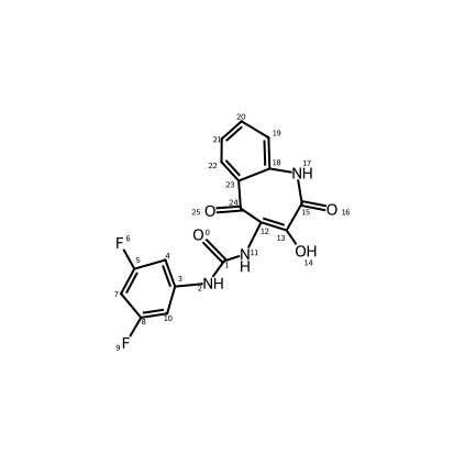 O=C(Nc1cc(F)cc(F)c1)Nc1c(O)c(=O)[nH]c2ccccc2c1=O